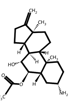 C=C1CC[C@H]2[C@@H]3[C@@H](O)[C@H](OC(C)=O)[C@H]4C[C@@H](N)CC[C@]4(C)[C@H]3CC[C@]12C